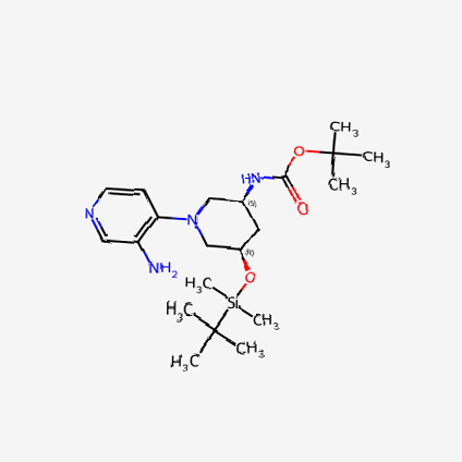 CC(C)(C)OC(=O)N[C@H]1C[C@@H](O[Si](C)(C)C(C)(C)C)CN(c2ccncc2N)C1